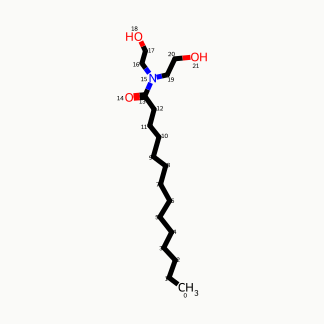 CCCCCCCCCCCCCC(=O)N(CCO)CCO